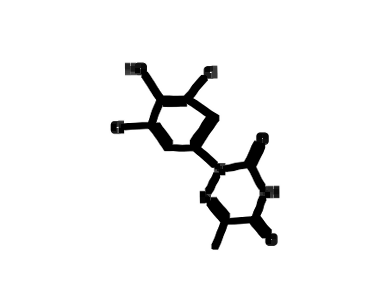 Cc1nn(-c2cc(Cl)c(O)c(Cl)c2)c(=O)[nH]c1=O